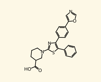 O=C(O)C1CCCN(c2nc(-c3ccc(-c4cnco4)cc3)c(-c3ccccc3)s2)C1